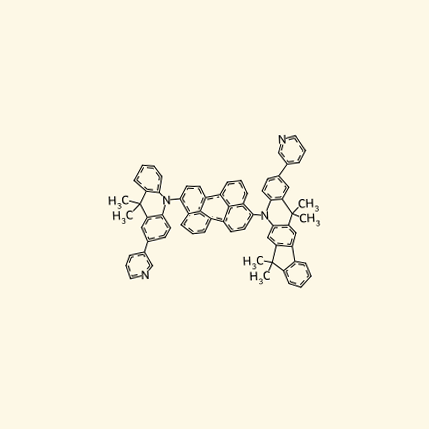 CC1(C)c2ccccc2-c2cc3c(cc21)N(c1ccc2c4cccc5c(N6c7ccccc7C(C)(C)c7cc(-c8cccnc8)ccc76)ccc(c6cccc1c62)c54)c1ccc(-c2cccnc2)cc1C3(C)C